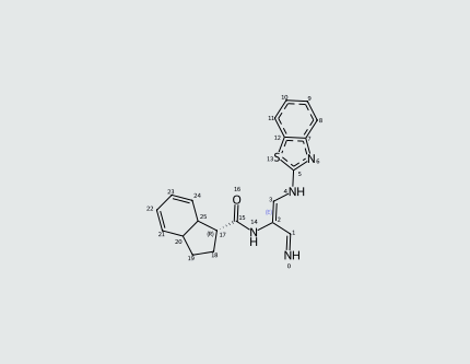 N=C/C(=C\Nc1nc2ccccc2s1)NC(=O)[C@@H]1CCC2C=CC=CC21